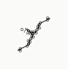 C=CC(=O)OCCCCCCOc1ccc(OC(=O)C2CCC(C(=O)Oc3ccc(OC(=O)C4CCC(C(=O)Oc5ccc(OCCCCCCOC(=O)C=C)cc5)CC4)c4[nH]c(-c5ccc([N+](=O)[O-])cc5)nc34)CC2)cc1